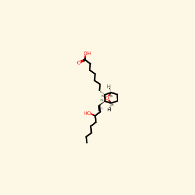 CCCCCC(O)/C=C/[C@H]1[C@H](CCCCCCC(=O)O)[C@H]2CC[C@@H]1O2